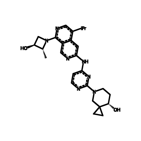 CC(C)c1cnc(N2C[C@H](O)[C@H]2C)c2cnc(Nc3ccnc(N4CC[C@H](O)C5(CC5)C4)n3)cc12